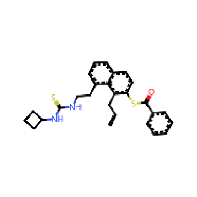 C=CCc1c(SC(=O)c2ccccc2)ccc2cccc(CCNC(=S)NC3CCC3)c12